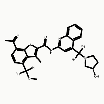 [2H]C([2H])(OC)c1ccc(C(C)=O)c2sc(C(=O)Nc3cc(C([2H])([2H])N4CC[C@@H](O)C4)c4ccccc4n3)c(C)c12